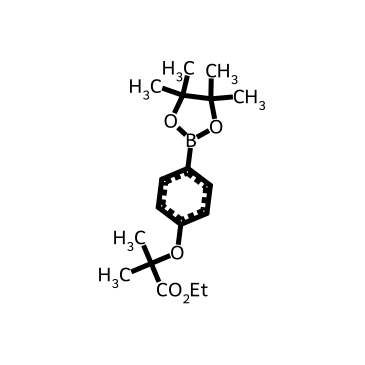 CCOC(=O)C(C)(C)Oc1ccc(B2OC(C)(C)C(C)(C)O2)cc1